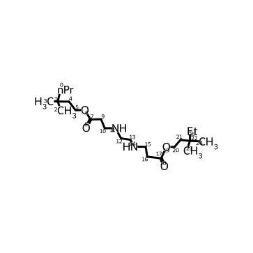 CCCC(C)(C)CCOC(=O)CCNCCNCCC(=O)OCCC(C)(C)CC